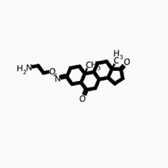 C[C@]12CCC(=NOCCN)CC1C(=O)CC1C2CC[C@]2(C)C(=O)CCC12